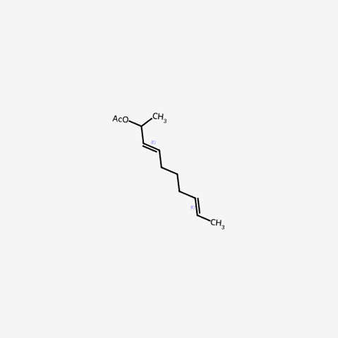 C/C=C/CCC/C=C/C(C)OC(C)=O